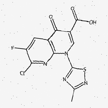 Cc1nsc(-n2cc(C(=O)O)c(=O)c3cc(F)c(Cl)nc32)n1